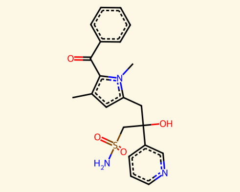 Cc1cc(CC(O)(CS(N)(=O)=O)c2cccnc2)n(C)c1C(=O)c1ccccc1